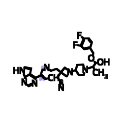 C/C=C(\C=N/CCC1(CC#N)CN(C2CCN(C(C)C(O)OCc3ccc(F)c(F)c3)CC2)C1)c1ncnc2[nH]ccc12